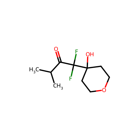 CC(C)C(=O)C(F)(F)C1(O)CCOCC1